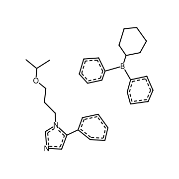 CC(C)OCCCn1cncc1-c1ccccc1.c1ccc(B(c2ccccc2)C2CCCCC2)cc1